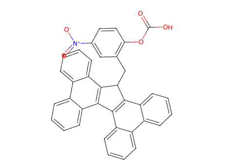 O=C(O)Oc1ccc([N+](=O)[O-])cc1CC1c2c(c3ccccc3c3ccccc23)-c2c1c1ccccc1c1ccccc21